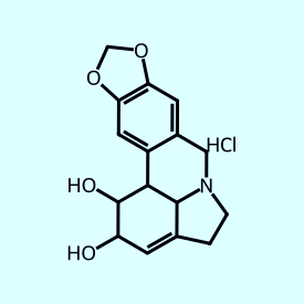 Cl.OC1C=C2CCN3Cc4cc5c(cc4C(C1O)C23)OCO5